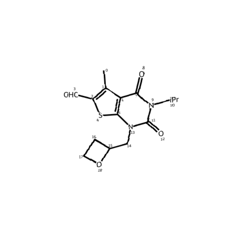 Cc1c(C=O)sc2c1c(=O)n(C(C)C)c(=O)n2CC1CCO1